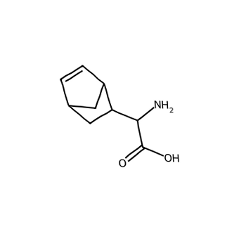 NC(C(=O)O)C1CC2C=CC1C2